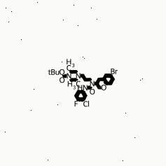 CC1CN(C(=O)OC(C)(C)C)[C@@H](C)CN1CCCN(C(=O)Nc1ccc(F)c(Cl)c1)C1COc2ccc(Br)cc2C1